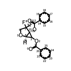 O=C(OC1[C@H]2OCC(F)(F)[C@@]12OC(=O)c1ccccc1)c1ccccc1